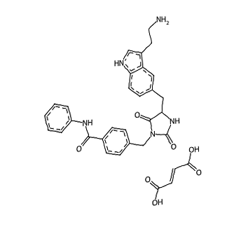 NCCc1c[nH]c2ccc(CC3NC(=O)N(Cc4ccc(C(=O)Nc5ccccc5)cc4)C3=O)cc12.O=C(O)C=CC(=O)O